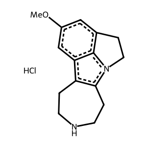 COc1cc2c3c(c1)c1c(n3CC2)CCNCC1.Cl